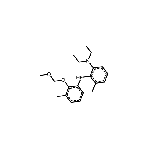 CCN(CC)c1cccc(C)c1Pc1cccc(C)c1OCOC